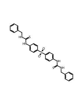 O=S(=O)(c1ccc(NC(=S)NCc2ccccc2)cc1)c1ccc(NC(=S)NCc2ccccc2)cc1